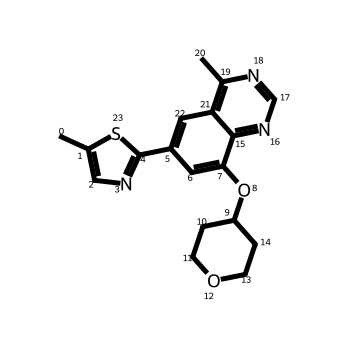 Cc1cnc(-c2cc(OC3CCOCC3)c3ncnc(C)c3c2)s1